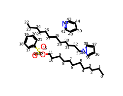 CCCCCCCCCCCCOS(=O)(=O)c1ccccc1.CCCCCCCCCCCCn1cccc1.c1ccncc1